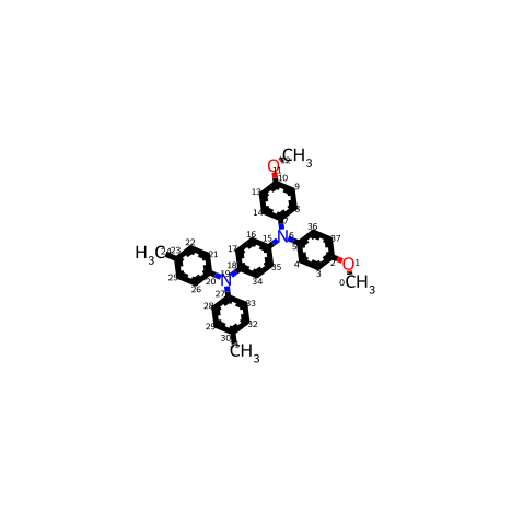 COc1ccc(N(c2ccc(OC)cc2)c2ccc(N(c3ccc(C)cc3)c3ccc(C)cc3)cc2)cc1